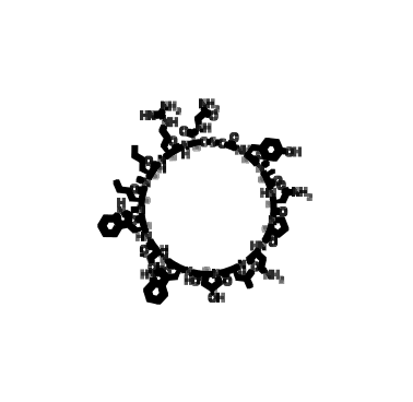 CCCC[C@H]1C(=O)N(C)[C@@H](CCCC)C(=O)N[C@@H](CCCNC(=N)N)C(=O)N[C@H](C(=O)NCC(N)=O)CSCC(=O)N[C@@H](Cc2ccc(O)cc2)C(=O)N(C)[C@@H](C)C(=O)N[C@@H](CC(N)=O)C(=O)N2CCC[C@H]2C(=O)NC(CCN)C(=O)N[C@@H](CC(C)C)C(=O)N2C[C@H](O)C[C@H]2C(=O)N[C@@H](Cc2c[nH]c3ccccc23)C(=O)N[C@@H]([C@@H](C)O)C(=O)N[C@@H](Cc2c[nH]c3ccccc23)C(=O)N1C